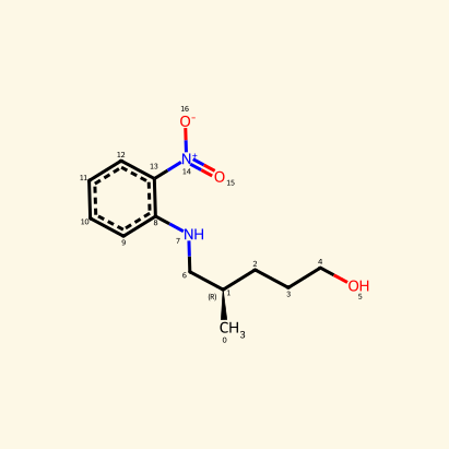 C[C@H](CCCO)CNc1ccccc1[N+](=O)[O-]